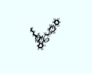 CCCCc1nc2c3ccccc3c(=O)n(CCN3CCN(c4ccccc4)CC3)c2s1